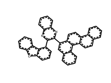 c1ccc2c(c1)ccc1c2ccc2c(-c3nc4ccccc4nc3-c3cccc4oc5ccccc5c34)cc3ccccc3c21